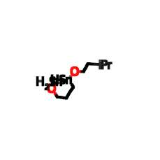 CC(C)CC[O][SnH]1[CH2]CC[O][SnH2]1